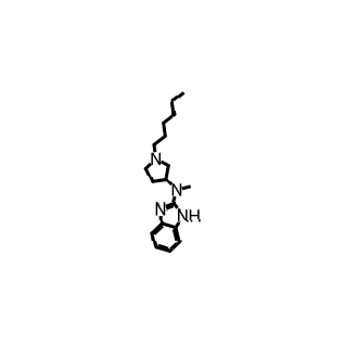 CCCCCCN1CCC(N(C)c2nc3ccccc3[nH]2)C1